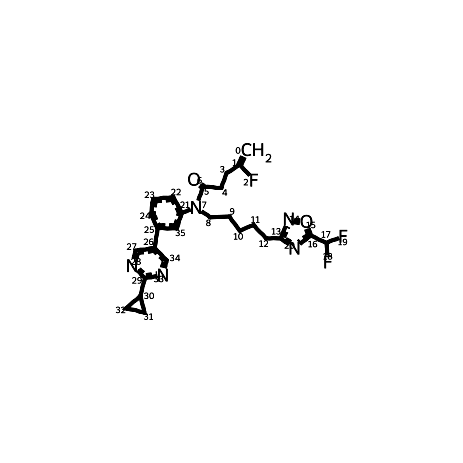 C=C(F)CCC(=O)N(CCCCCc1noc(C(F)F)n1)c1cccc(-c2cnc(C3CC3)nc2)c1